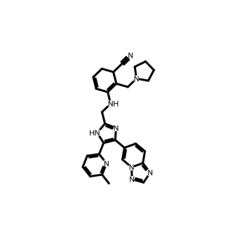 Cc1cccc(-c2[nH]c(CNC3=C(CN4CCCC4)C(C#N)CC=C3)nc2-c2ccc3ncnn3c2)n1